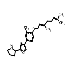 CC(C)=CCC/C(C)=C/COc1ccc(-c2noc(C3CCCN3)n2)cc1C(F)(F)F